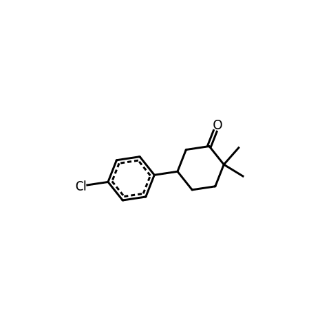 CC1(C)CCC(c2ccc(Cl)cc2)CC1=O